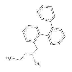 CCC[C@@H](C)Cc1ccccc1-c1ccccc1-c1ccccc1